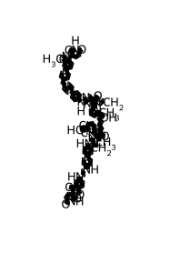 C=CCn1c(=O)c2cnc(Nc3ccc(N4CCN(CC5CCN(c6ccc7c(C8CCC(=O)NC8=O)nn(C)c7c6)CC5)CC4)cc3)nc2n1-c1cccc(C(C)(O)C/C=C/Cn2c(=O)c(C)c(/N=C(\N=C)Nc3ccc(N4CCC(NCCNc5ccc6c(c5)C(=O)N(C5CCC(=O)NC5=O)C6=O)CC4)cc3)n2-c2cccc(C(C)(C)O)n2)n1